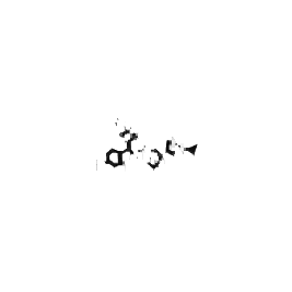 C[C@@H]1CN(c2nc(-c3ccc(F)cc3F)c3sc(N(C)C)nc3n2)C[C@H](c2cnn(C3CC3)c2)O1